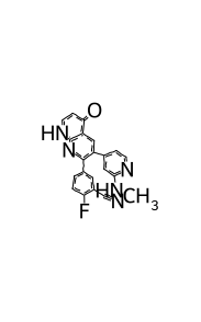 CNc1cc(-c2cc3c(=O)cc[nH]c3nc2-c2ccc(F)c(C#N)c2)ccn1